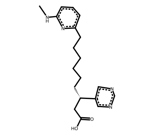 CNc1cccc(CCCCCC[C@@H](CC(=O)O)c2cncnc2)n1